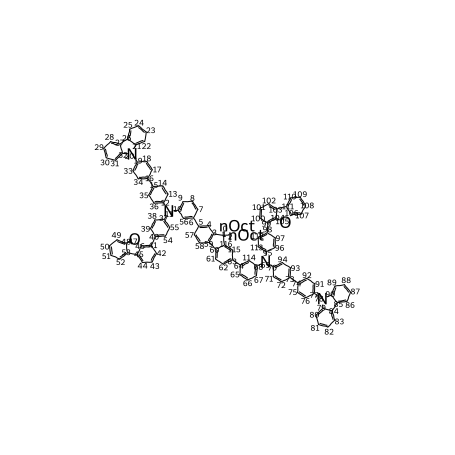 CCCCCCCCC1(CCCCCCCC)c2cc(-c3cccc(N(c4ccc(-c5ccc(-n6c7ccccc7c7ccccc76)cc5)cc4)c4ccc(-c5cccc6c5oc5ccccc56)cc4)c3)ccc2-c2ccc(-c3cccc(N(c4ccc(-c5ccc(-n6c7ccccc7c7ccccc76)cc5)cc4)c4ccc(-c5cccc6c5oc5ccccc56)cc4)c3)cc21